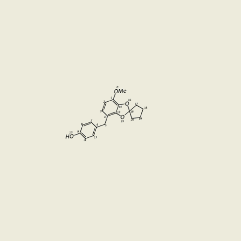 COc1ccc(Cc2ccc(O)cc2)c2c1OC1(CCCC1)O2